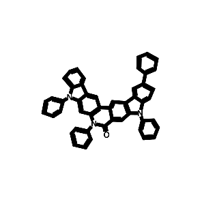 O=c1c2cc3c(cc2c2cc4c5ccccc5n(-c5ccccc5)c4cc2n1-c1ccccc1)c1cc(-c2ccccc2)ccc1n3-c1ccccc1